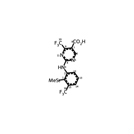 CSc1c(Nc2ncc(C(=O)O)c(C(F)(F)F)n2)cccc1C(F)(F)F